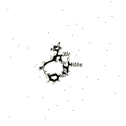 CNC(=O)c1cnc2nc1Nc1cc(cc(-c3ncn(C)n3)c1OC)CN(C)Cc1cccc(c1)N2